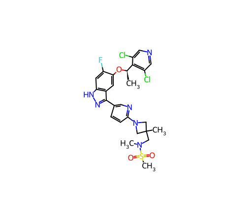 C[C@@H](Oc1cc2c(-c3ccc(N4CC(C)(CN(C)S(C)(=O)=O)C4)nc3)n[nH]c2cc1F)c1c(Cl)cncc1Cl